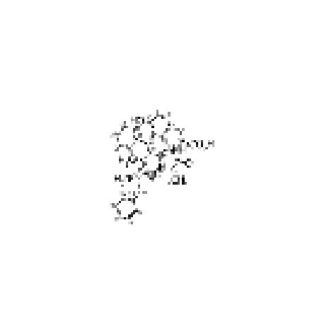 C[C@@H](C(=O)N[C@@H](Cc1ccc(O)cc1)C(=O)O)N(C)C(=O)[C@H](Cc1ccccc1)N(C)C(=O)[C@@H](N)Cc1ccccc1